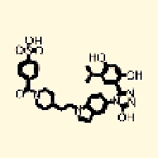 CC(C)c1cc(-c2nnc(O)n2-c2ccc3c(ccn3CCC3CCN(C(=O)c4ccc(S(=O)(=O)O)cc4)CC3)c2)c(O)cc1O